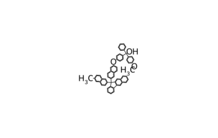 COc1ccc(C(O)(c2ccccc2)c2ccc(Oc3ccc4cc(C5(c6ccc7cc(C)ccc7c6)c6ccccc6-c6cc7ccccc7cc65)ccc4c3)cc2)cc1